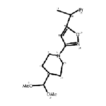 COC(OC)C1CCN(c2cc(C(C)C(C)C)on2)CC1